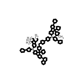 C=CC1=C(/C=C\C)c2ccc(N(c3ccc(-c4ccccc4)cc3)c3ccc4c(c3)C(c3ccccc3)(c3ccc(Cc5ccc(-c6ccc(N(c7ccc(-c8ccccc8)cc7)c7ccc8c(c7)C(c7ccccc7)(c7ccc(C)cc7)c7cc(-c9ccccc9)ccc7-8)cc6)cc5)cc3)c3cc(-c5cccc6ccccc56)ccc3-4)cc2C1(C)C